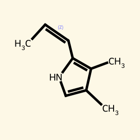 C/C=C\c1[nH]cc(C)c1C